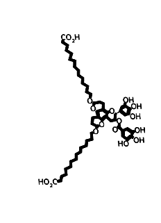 O=C(O)CCCCCCCCCCCCCCOC1CCc2c(c3c(c4c2O[C@H](c2cc(O)c(O)c(O)c2)[C@H](OC(=O)c2cc(O)c(O)c(O)c2)C4)OC(OCCCCCCCCCCCCCCC(=O)O)CC3)O1